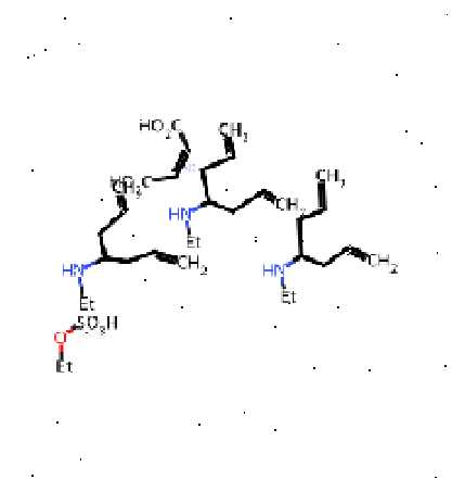 C=CCC(CC=C)NCC.C=CCC(CC=C)NCC.C=CCC(CC=C)NCC.CCOS(=O)(=O)O.O=C(O)/C=C\C(=O)O